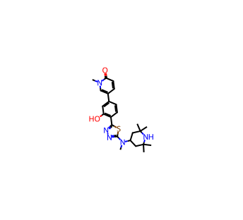 CN(c1nnc(-c2ccc(-c3ccc(=O)n(C)c3)cc2O)s1)C1CC(C)(C)NC(C)(C)C1